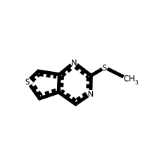 CSc1ncc2cscc2n1